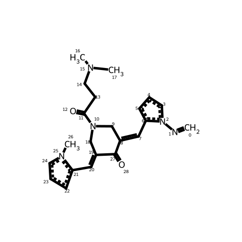 C=Nn1cccc1/C=C1\CN(C(=O)CCN(C)C)C/C(=C\c2cccn2C)C1=O